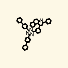 c1ccc(-c2ccc(-c3nc(-c4ccc(-c5ccccc5)cc4)nc(-c4cccc(-c5cc(-c6ccccc6)nc6ccc7ccccc7c56)c4)n3)cc2)cc1